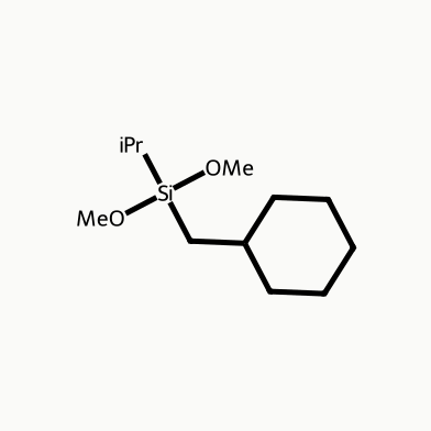 CO[Si](CC1CCCCC1)(OC)C(C)C